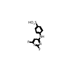 O=S(=O)(O)c1[c]cc(Nc2cc(F)nc(F)n2)cc1